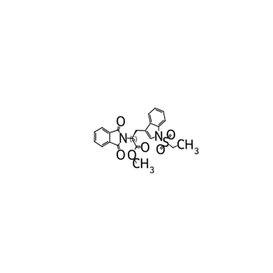 CCS(=O)(=O)n1cc(C[C@@H](C(=O)OC)N2C(=O)c3ccccc3C2=O)c2ccccc21